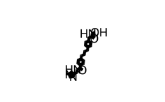 Cn1cnc(CNC(=O)c2ccc(CCCCc3ccc(CC(=O)NO)cc3)cc2)c1